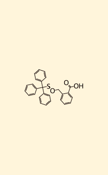 O=C(O)c1ccccc1COSC(c1ccccc1)(c1ccccc1)c1ccccc1